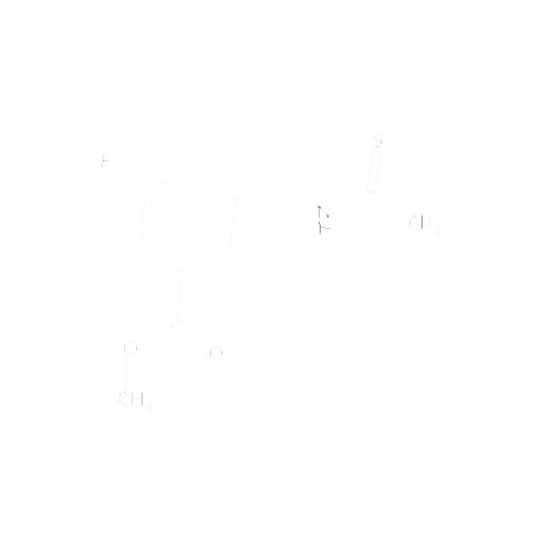 COC(=O)c1cc(F)cc(CNC(C)=S)c1